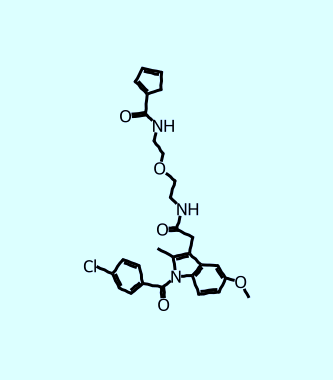 COc1ccc2c(c1)c(CC(=O)NCCOCCNC(=O)C1=CC=CC1)c(C)n2C(=O)c1ccc(Cl)cc1